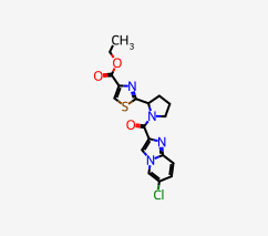 CCOC(=O)c1csc(C2CCCN2C(=O)c2cn3cc(Cl)ccc3n2)n1